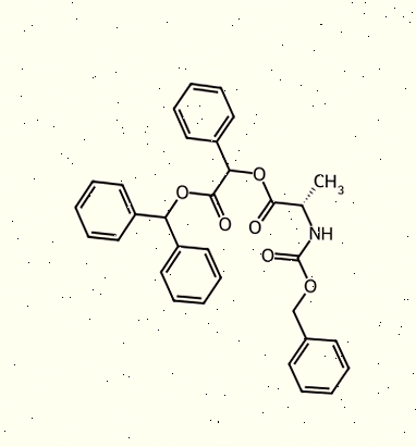 C[C@H](NC(=O)OCc1ccccc1)C(=O)OC(C(=O)OC(c1ccccc1)c1ccccc1)c1ccccc1